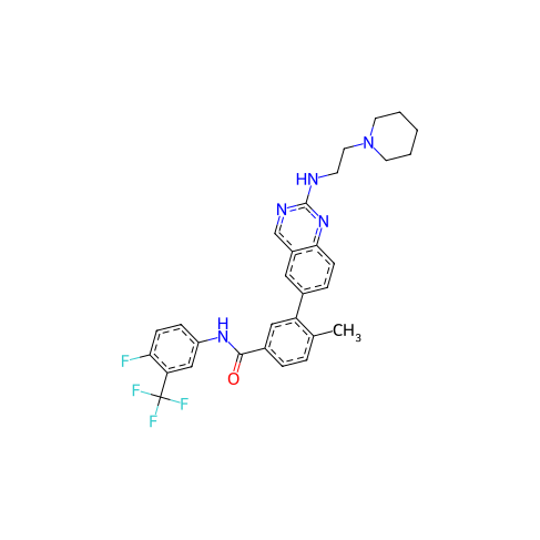 Cc1ccc(C(=O)Nc2ccc(F)c(C(F)(F)F)c2)cc1-c1ccc2nc(NCCN3CCCCC3)ncc2c1